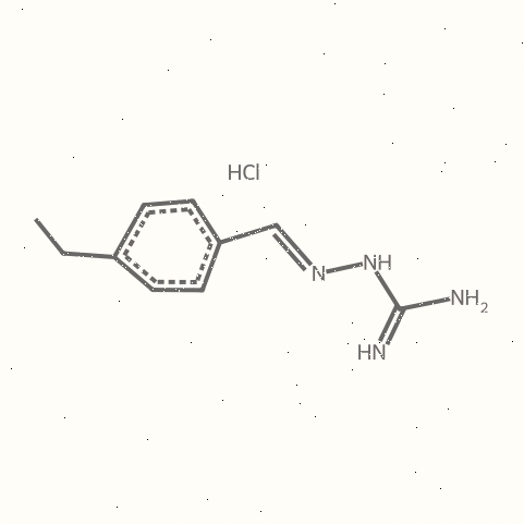 CCc1ccc(C=NNC(=N)N)cc1.Cl